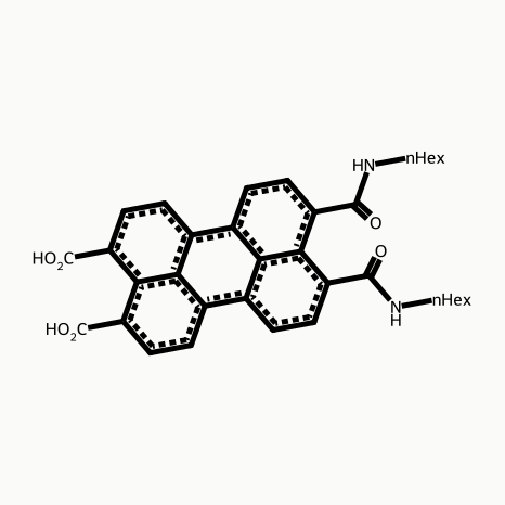 CCCCCCNC(=O)c1ccc2c3ccc(C(=O)O)c4c(C(=O)O)ccc(c5ccc(C(=O)NCCCCCC)c1c25)c43